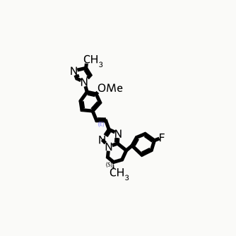 COc1cc(/C=C/c2nc3n(n2)C[C@@H](C)CC3c2ccc(F)cc2)ccc1-n1cnc(C)c1